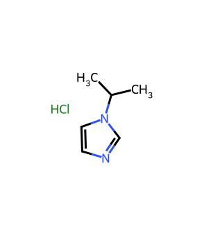 CC(C)n1ccnc1.Cl